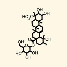 CC1CCC2(C(=O)OC3OC(CO)C(O)C(O)C3O)CCC3(C)C(=CCC4C5(C)CC(O)C(O)C(C)(C(=O)O)C5CCC43C)C2C1(C)O